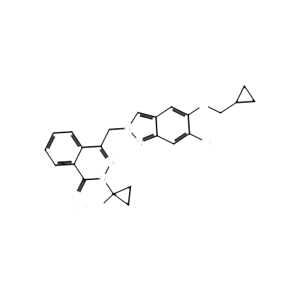 O=C(O)C1(n2nc(Cn3cc4cc(OCC5CC5)c(Cl)cc4n3)c3ccccc3c2=O)CC1